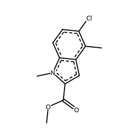 COC(=O)c1cc2c(C)c(Cl)ccc2n1C